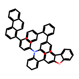 C1=C(c2ccc3c(c2)oc2ccccc23)C(N(c2ccc(-c3cccc4c3ccc3ccccc34)cc2)c2cccc(-c3ccccc3-c3ccccc3)c2)=CCC1